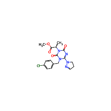 COC(=O)[C@@H](C)n1c(=O)nc(N2CCC=N2)n(Cc2ccc(Cl)cc2)c1=O